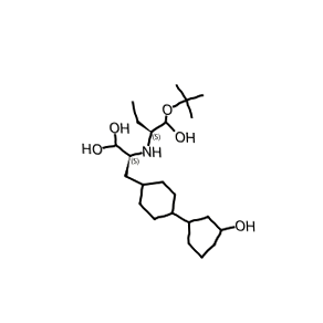 CC[C@H](N[C@@H](CC1CCC(C2CCCC(O)C2)CC1)C(O)O)C(O)OC(C)(C)C